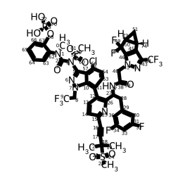 CN(C(=O)N(c1nn(CC(F)(F)F)c2c(-c3ccc(C#CC(C)(C)S(C)(=O)=O)nc3C(Cc3cc(F)cc(F)c3)NC(=O)Cn3nc(C(F)(F)F)c4c3C(F)(F)[C@@H]3C[C@H]43)ccc(Cl)c12)S(C)(=O)=O)c1ccccc1OP(=O)(O)O